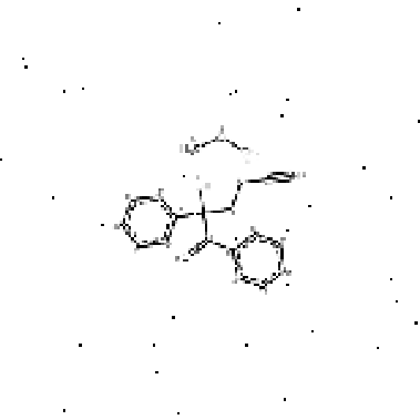 COC.N#CCCC(O)(C(=O)c1ccccc1)c1ccccc1